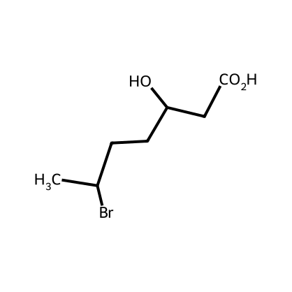 CC(Br)CCC(O)CC(=O)O